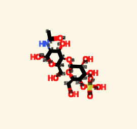 CC(=O)N[C@@H]1[C@@H](O)[C@H](O[C@@H]2O[C@H](CO)[C@H](OS(=O)(=O)O)[C@H](O)[C@H]2O)[C@@H](CO)O[C@H]1O